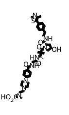 Cc1ncsc1-c1ccc(CCNC(=O)[C@@H]2C[C@@H](O)CN2C(=O)C(C)(C)[C@H](C)NC(=O)CNC(=O)c2ccc(N3CCN(CCN(C)C(=O)O)CC3)cc2)cc1